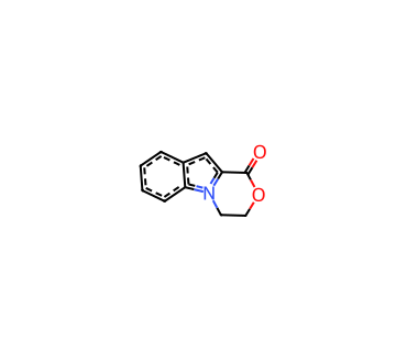 O=C1OCCn2c1cc1ccccc12